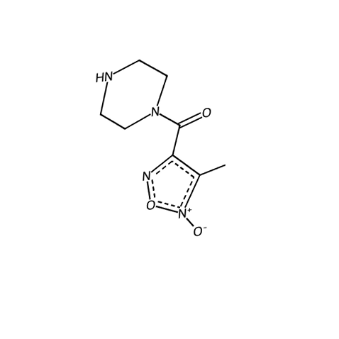 Cc1c(C(=O)N2CCNCC2)no[n+]1[O-]